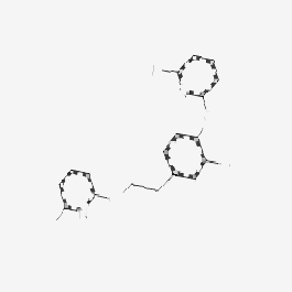 Oc1cc(CCOc2cccc(F)n2)ccc1Oc1cccc(F)n1